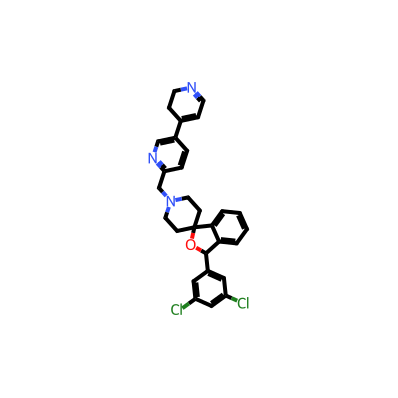 Clc1cc(Cl)cc(C2OC3(CCN(Cc4ccc(C5=CC=NCC5)cn4)CC3)c3ccccc32)c1